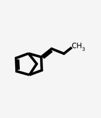 CC/C=C1\CC2C=CC1C2